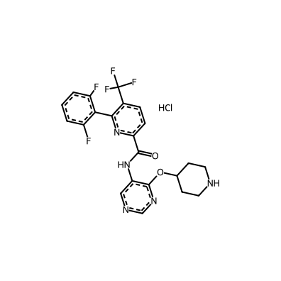 Cl.O=C(Nc1cncnc1OC1CCNCC1)c1ccc(C(F)(F)F)c(-c2c(F)cccc2F)n1